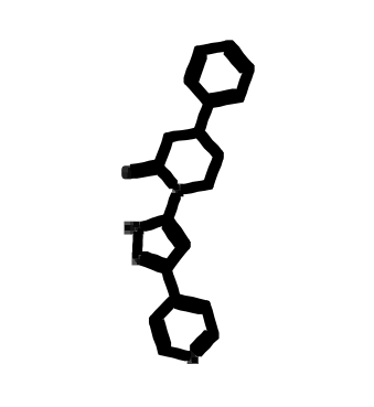 O=C1CC(c2ccccc2)CCN1c1cc(-c2ccncc2)n[nH]1